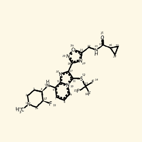 CN1CC[C@@H](Nc2cccn3c(SC(F)(F)F)c(-c4noc(CNC(=O)C5CC5)n4)nc23)[C@@H](F)C1